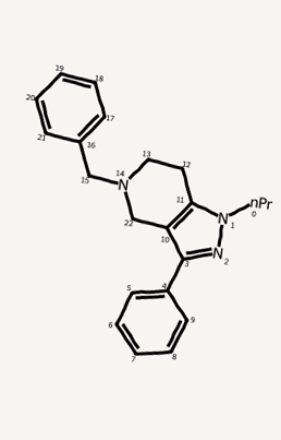 CCCn1nc(-c2ccccc2)c2c1CCN(Cc1ccccc1)C2